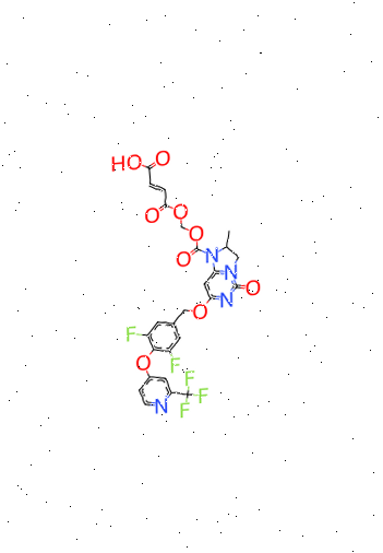 CC1Cn2c(cc(OCc3cc(F)c(Oc4ccnc(C(F)(F)F)c4)c(F)c3)nc2=O)N1C(=O)OCOC(=O)/C=C/C(=O)O